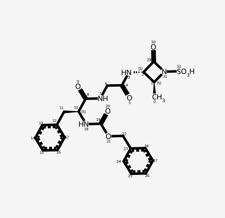 C[C@H]1[C@H](NC(=O)CNC(=O)[C@H](Cc2ccccc2)NC(=O)OCc2ccccc2)C(=O)N1S(=O)(=O)O